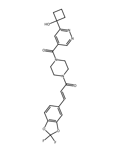 O=C(/C=C/c1ccc2c(c1)OC(F)(F)O2)N1CCN(C(=O)c2cnnc(C3(O)CCC3)c2)CC1